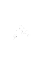 O=CC1CN(C(=O)O)c2cccc(Br)c2O1